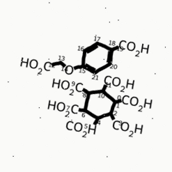 O=C(O)C1C(C(=O)O)C(C(=O)O)C(C(=O)O)C(C(=O)O)C1C(=O)O.O=C(O)COc1ccc(C(=O)O)cc1